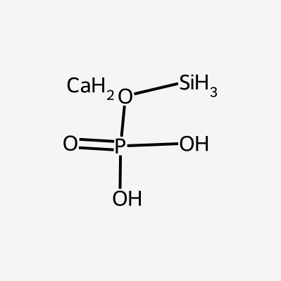 O=P(O)(O)O[SiH3].[CaH2]